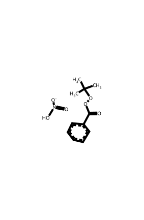 CC(C)(C)OOC(=O)c1ccccc1.O=[N+]([O-])O